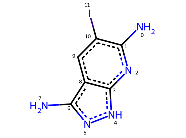 Nc1nc2[nH]nc(N)c2cc1I